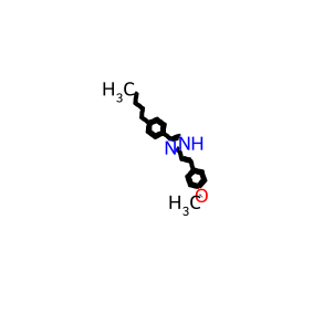 CCCCCc1ccc(-c2c[nH]c(/C=C/c3ccc(OC)cc3)n2)cc1